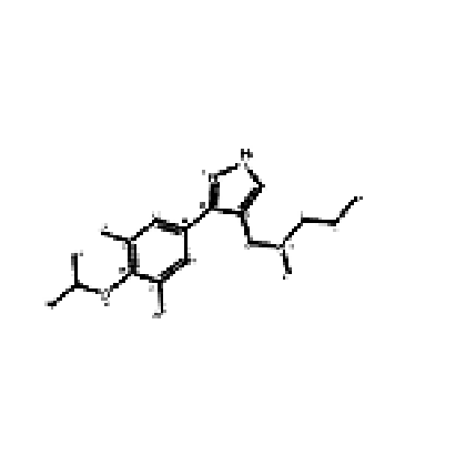 CCCN(C)Cc1c[nH]nc1-c1cc(C)c(OC(C)C)c(C)c1